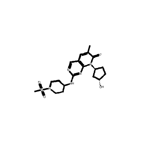 Cc1cc2cnc(NC3CCN(S(C)(=O)=O)CC3)nc2n([C@H]2CC[C@H](O)C2)c1=O